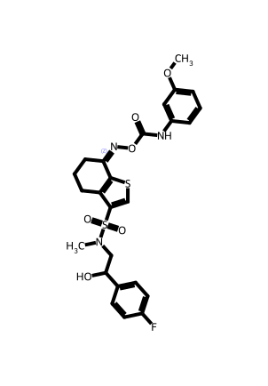 COc1cccc(NC(=O)O/N=C2/CCCc3c(S(=O)(=O)N(C)CC(O)c4ccc(F)cc4)csc32)c1